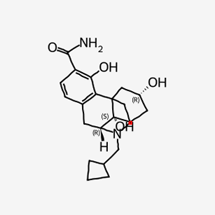 NC(=O)c1ccc2c(c1O)C13CCN(CC4CCC4)[C@H](C2)[C@]1(O)CC[C@@H](O)C3